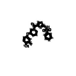 N#Cc1ccc(OC2CCCN(C(=O)c3csc(NS(=O)(=O)c4ccccc4)n3)C2)cc1F